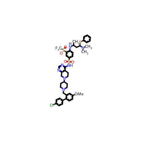 COc1ccc(-c2ccc(Cl)cc2)c(CN2CCC(N3CCc4c(ncnc4NS(=O)(=O)c4ccc(NC(C)CC(Sc5ccccc5)N(C)C)c(S(=O)(=O)C(F)(F)F)c4)C3)CC2)c1